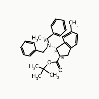 Cc1ccc2c(c1)[C@@H](N(Cc1ccccc1)[C@H](C)c1ccccc1)[C@H](C(=O)OC(C)(C)C)C2